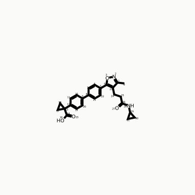 Cc1noc(-c2ccc(-c3ccc(C4(C(=O)O)CC4)cc3)cc2)c1CCC(=O)NC1CC1